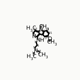 CCN(CC)CCCNc1ncc(C)c2c1c1cc(OC)ccc1n2C